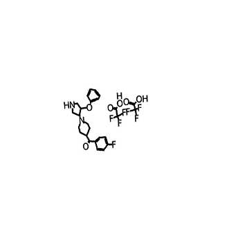 O=C(O)C(F)(F)F.O=C(O)C(F)(F)F.O=C(c1ccc(F)cc1)C1CCN(C2CNCC2Oc2ccccc2)CC1